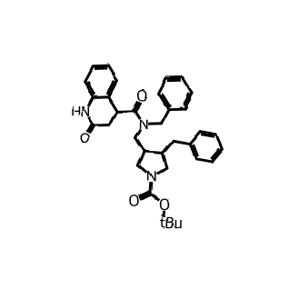 CC(C)(C)OC(=O)N1CC(Cc2ccccc2)C(CN(Cc2ccccc2)C(=O)C2CC(=O)Nc3ccccc32)C1